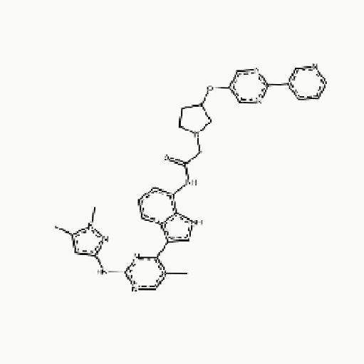 Cc1cnc(Nc2cc(C)n(C)n2)nc1-c1c[nH]c2c(NC(=O)CN3CCC(Oc4cnc(-c5cccnc5)nc4)C3)cccc12